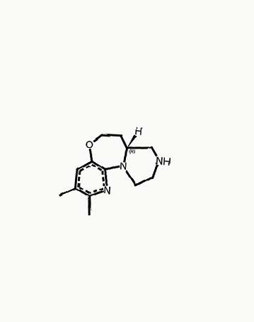 Cc1cc2c(nc1C)N1CCNC[C@H]1CCO2